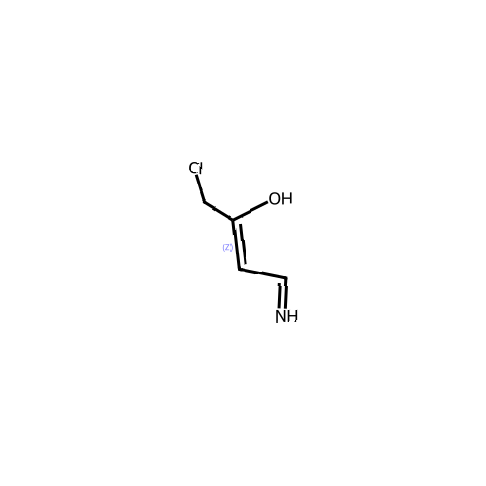 N=C/C=C(\O)CCl